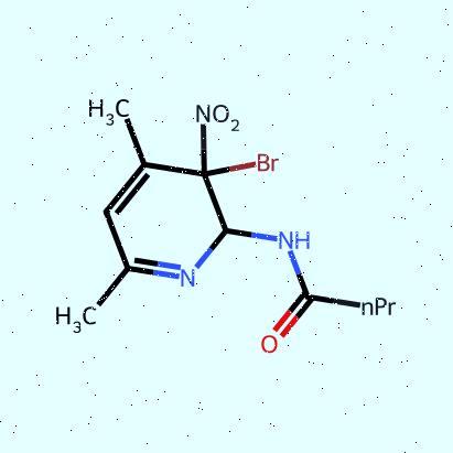 CCCC(=O)NC1N=C(C)C=C(C)C1(Br)[N+](=O)[O-]